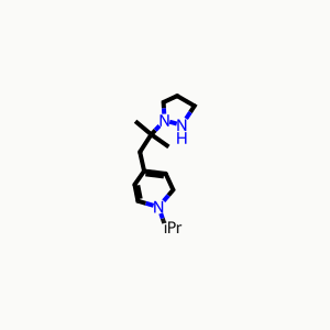 CC(C)N1C=CC(CC(C)(C)N2CCCN2)=CC1